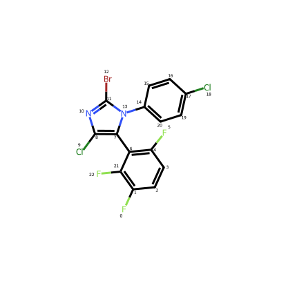 Fc1ccc(F)c(-c2c(Cl)nc(Br)n2-c2ccc(Cl)cc2)c1F